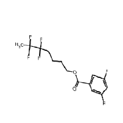 CC(F)(F)C(F)(F)CCCCOC(=O)c1cc(F)cc(F)c1